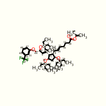 CC[Si](CC)(CC)O[C@H](C=C[C@@H]1[C@@H](CC=CCCCC(=O)OC(C)C)[C@@H](O[Si](CC)(CC)CC)C[C@H]1O[Si](CC)(CC)CC)COc1cccc(C(F)(F)F)c1